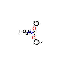 Cc1cccc(OC[C@H](COc2ccccc2)NC(=O)O)c1